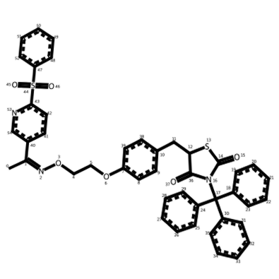 CC(=NOCCOc1ccc(CC2SC(=O)N(C(c3ccccc3)(c3ccccc3)c3ccccc3)C2=O)cc1)c1ccc(S(=O)(=O)c2ccccc2)nc1